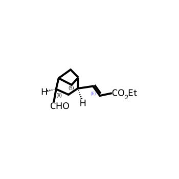 CCOC(=O)/C=C/[C@H]1C[C@@H](C=O)C2CC1C2